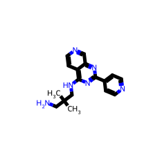 CC(C)(CN)CNc1nc(-c2ccncc2)nc2cnccc12